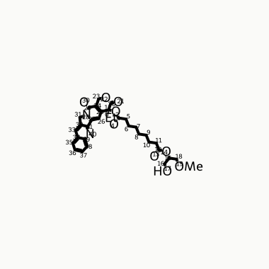 CC[C@@]1(OC(=O)CCCCCCCC(=O)OC(CO)COC)C(=O)OCc2c1cc1n(c2=O)Cc2cc3ccccc3nc2-1